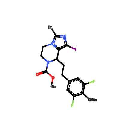 CCc1nc(I)c2n1CCN(C(=O)OC(C)(C)C)C2CCc1cc(F)c(OC)c(F)c1